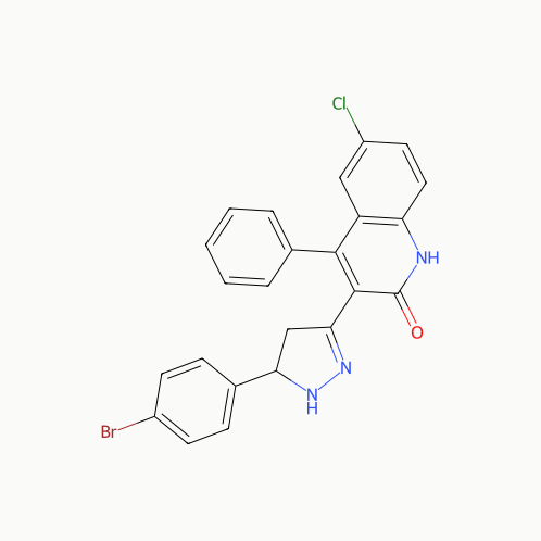 O=c1[nH]c2ccc(Cl)cc2c(-c2ccccc2)c1C1=NNC(c2ccc(Br)cc2)C1